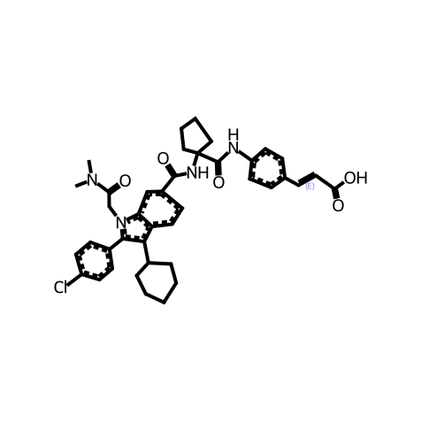 CN(C)C(=O)Cn1c(-c2ccc(Cl)cc2)c(C2CCCCC2)c2ccc(C(=O)NC3(C(=O)Nc4ccc(/C=C/C(=O)O)cc4)CCCC3)cc21